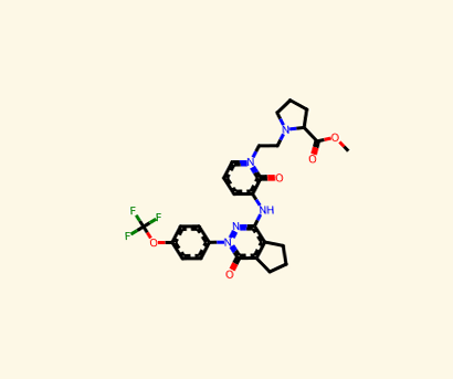 COC(=O)C1CCCN1CCn1cccc(Nc2nn(-c3ccc(OC(F)(F)F)cc3)c(=O)c3c2CCC3)c1=O